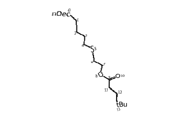 CCCCCCCCCCCCCCSCCOC(=O)CCC(C)(C)C